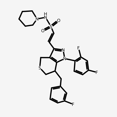 O=S(=O)(C=Cc1nn(-c2ccc(F)cc2F)c2c1CSCC2Cc1cccc(F)c1)NN1CCCCC1